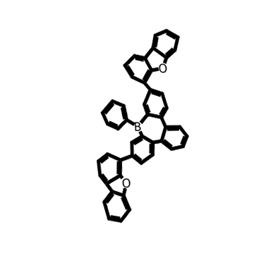 c1ccc(B2c3cc(-c4cccc5c4oc4ccccc45)ccc3-c3ccccc3-c3ccc(-c4cccc5c4oc4ccccc45)cc32)cc1